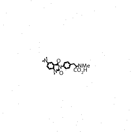 CNC(Cc1ccc(-n2c(=O)c3cc(N(C)C)ccc3n(C)c2=O)cc1)C(=O)O